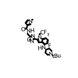 Cn1ccc(C(=O)NCc2nc(-c3cc4c(N[C@H]5CCN(C(C)(C)C)C[C@H]5F)cccc4n3CC(F)(F)F)no2)c1